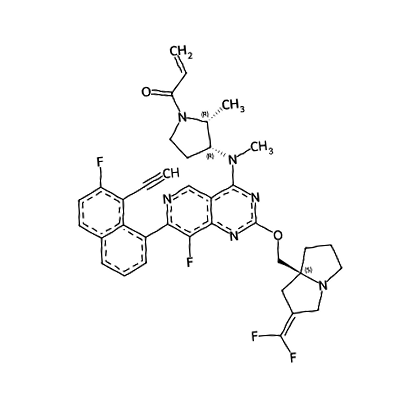 C#Cc1c(F)ccc2cccc(-c3ncc4c(N(C)[C@@H]5CCN(C(=O)C=C)[C@@H]5C)nc(OC[C@@]56CCCN5CC(=C(F)F)C6)nc4c3F)c12